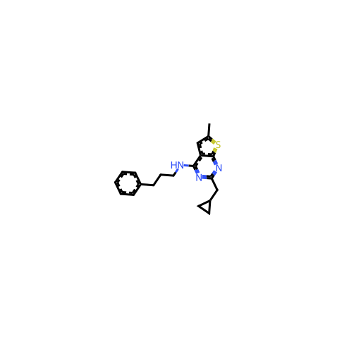 Cc1cc2c(NCCCc3ccccc3)nc(CC3CC3)nc2s1